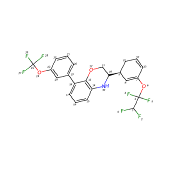 FC(F)C(F)(F)OC1=C[C@@H](C2COc3c(cccc3-c3cccc(OC(F)(F)F)c3)N2)CC=C1